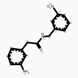 Nc1cccc(CC(=O)NCc2cccc([N+](=O)[O-])c2)c1